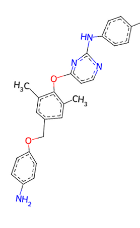 Cc1cc(COc2ccc(N)cc2)cc(C)c1Oc1ccnc(Nc2ccc(C#N)cc2)n1